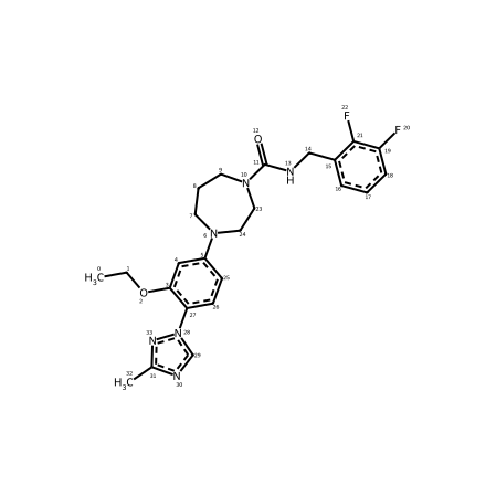 CCOc1cc(N2CCCN(C(=O)NCc3cccc(F)c3F)CC2)ccc1-n1cnc(C)n1